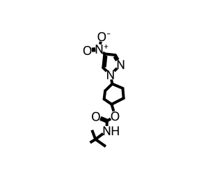 CC(C)(C)NC(=O)OC1CCC(n2cc([N+](=O)[O-])cn2)CC1